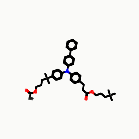 CCCC(=O)OCCC[Si](C)(C)c1ccc(N(c2ccc(CCC(=O)OCCC[Si](C)(C)C)cc2)c2ccc(-c3ccccc3)cc2)cc1